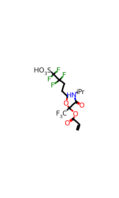 C=CC(=O)OC(OCCCC(F)(F)C(F)(F)S(=O)(=O)O)(C(=O)NC(C)C)C(F)(F)F